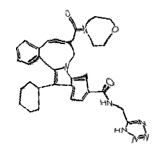 O=C(NCc1nnn[nH]1)c1ccc2c(C3CCCCC3)c3n(c2c1)CC(C(=O)N1CCOCC1)=Cc1ccccc1-3